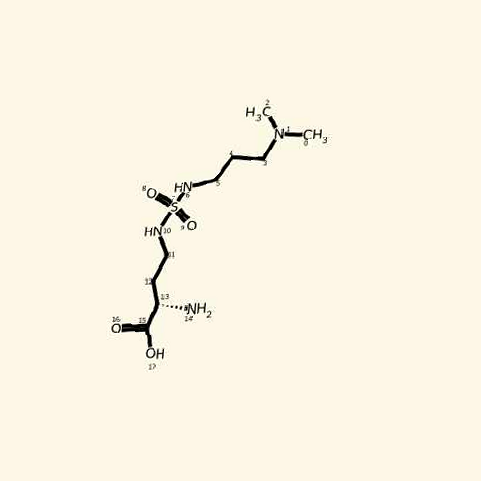 CN(C)CCCNS(=O)(=O)NCC[C@H](N)C(=O)O